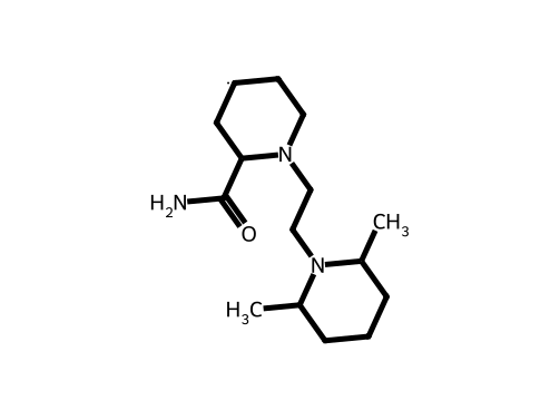 CC1CCCC(C)N1CCN1CC[CH]CC1C(N)=O